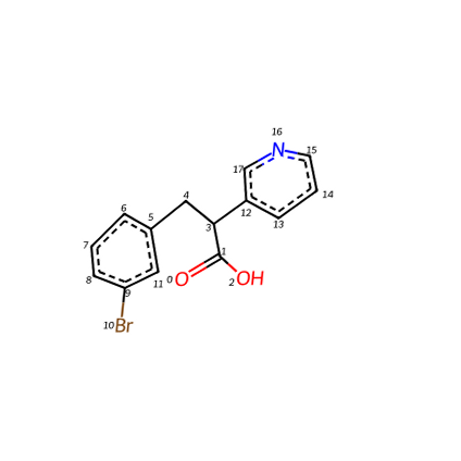 O=C(O)C(Cc1cccc(Br)c1)c1cccnc1